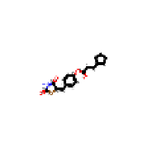 O=C(CCC1CCCC1)Oc1ccc(C=C2SC(=O)NC2=O)cc1